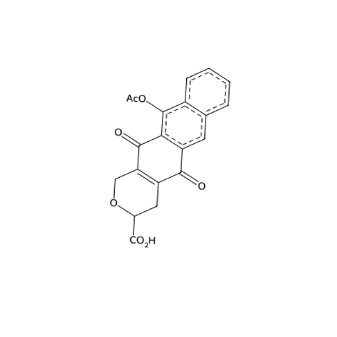 CC(=O)Oc1c2c(cc3ccccc13)C(=O)C1=C(COC(C(=O)O)C1)C2=O